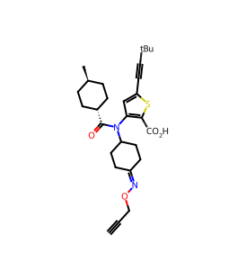 C#CCON=C1CCC(N(c2cc(C#CC(C)(C)C)sc2C(=O)O)C(=O)[C@H]2CC[C@H](C)CC2)CC1